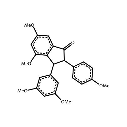 COc1ccc(C2C(=O)c3cc(OC)cc(OC)c3C2c2cc(OC)cc(OC)c2)cc1